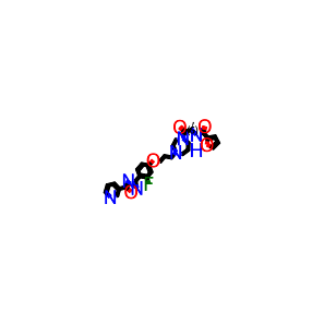 C[C@H](NC(=O)c1ccco1)C(=O)N1CCCN(CCCOc2ccc(-c3noc(-c4cccnc4)n3)c(F)c2)CC1